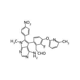 Cc1cccc(Oc2ccc(-c3c(-c4ccc([N+](=O)[O-])cc4)n(C)c4ncnc(N)c34)c(CC=O)c2F)n1